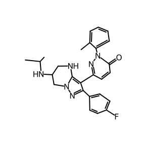 Cc1ccccc1-n1nc(-c2c(-c3ccc(F)cc3)nn3c2NCC(NC(C)C)C3)ccc1=O